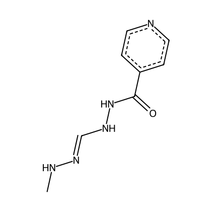 CNN=CNNC(=O)c1ccncc1